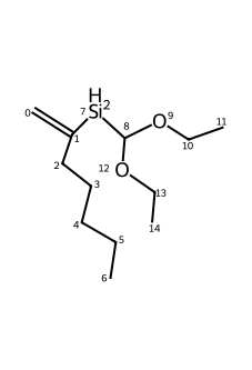 C=C(CCCCC)[SiH2]C(OCC)OCC